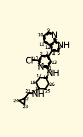 Clc1cc(-c2c[nH]c3ncccc23)cc(NC2CCC(NCC3CC3)CC2)n1